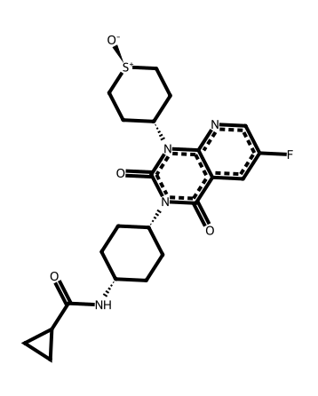 O=C(N[C@H]1CC[C@@H](n2c(=O)c3cc(F)cnc3n([C@H]3CC[S@+]([O-])CC3)c2=O)CC1)C1CC1